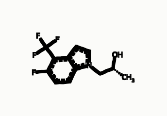 C[C@@H](O)Cn1ccc2c(C(F)(F)F)c(F)ccc21